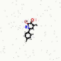 Cc1ccc(-c2cc(C)c(O)c(=O)[nH]2)cc1